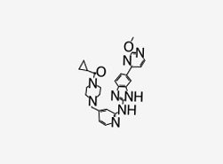 COc1nccc(-c2ccc3nc(Nc4cc(CN5CCN(C(=O)C6CC6)CC5)ccn4)[nH]c3c2)n1